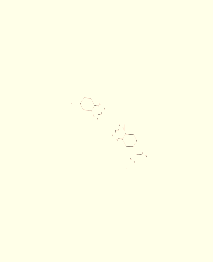 Cn1c(CCc2nc3cc(C(=N)N)ccc3[nH]2)nc2ccc(C(=O)O)cc21